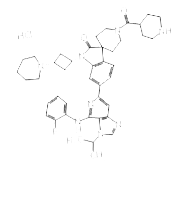 CC(C)n1cnc2cc(-c3ccc4c(c3)N([C@H]3C[C@@H](N5CCCCC5)C3)C(=O)C43CCN(C(=O)C4CCNCC4)CC3)nc(Nc3ccccc3F)c21.Cl